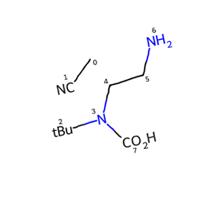 CC#N.CC(C)(C)N(CCN)C(=O)O